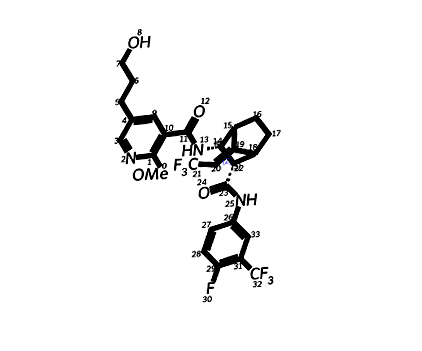 COc1ncc(CCCO)cc1C(=O)N[C@@H]1C2CCC(/C2=C/C(F)(F)F)[C@@H]1C(=O)Nc1ccc(F)c(C(F)(F)F)c1